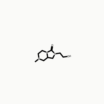 CN1CCN2C(=O)N(CCO)CC2C1